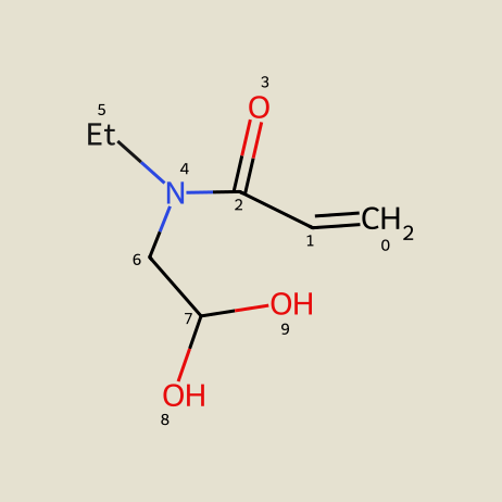 C=CC(=O)N(CC)CC(O)O